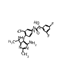 Cc1nc(N)c2c(n1)c(C)nn2-c1ccc(NC(=O)[C@H](O)c2cc(F)cc(F)c2)cc1Cl